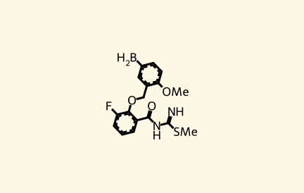 Bc1ccc(OC)c(COc2c(F)cccc2C(=O)NC(=N)SC)c1